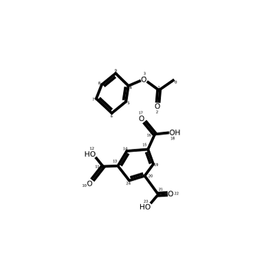 CC(=O)Oc1ccccc1.O=C(O)c1cc(C(=O)O)cc(C(=O)O)c1